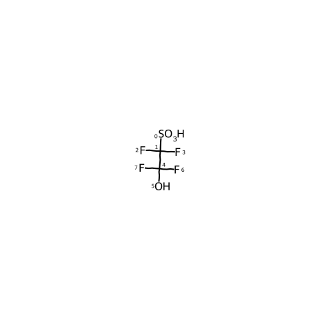 O=S(=O)(O)C(F)(F)C(O)(F)F